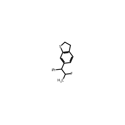 CC(C)C(c1ccc2c(c1)SCC2)C(C)F